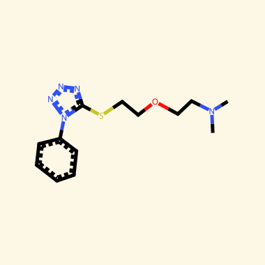 CN(C)CCOCCSc1nnnn1-c1ccccc1